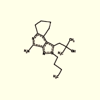 CCCCn1nc2c(N)nc3c(c2c1CC(C)(C)O)CCCC3